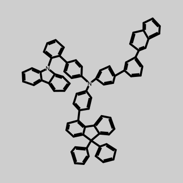 c1ccc(C2(c3ccccc3)c3ccccc3-c3c(-c4ccc(N(c5ccc(-c6cccc(-c7ccc8ccccc8c7)c6)cc5)c5ccc(-c6ccccc6-n6c7ccccc7c7ccccc76)cc5)cc4)cccc32)cc1